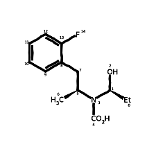 CC[C@H](O)N(C(=O)O)[C@@H](C)Cc1ccccc1F